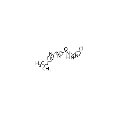 CC(C)=Cc1ccc2nc(Cn3cc(C(=O)NCc4ncn5ccc(Cl)cc45)cn3)cn2c1